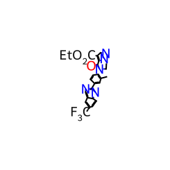 CCOC(=O)c1cnn2c1C(=O)N(c1ccc(-c3ncc4cc(C(F)(F)F)ccc4n3)cc1C)CC2